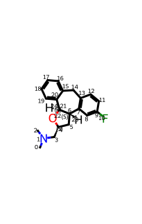 CN(C)C[C@@H]1C[C@H]2c3cc(F)ccc3Cc3ccccc3[C@@H]2O1